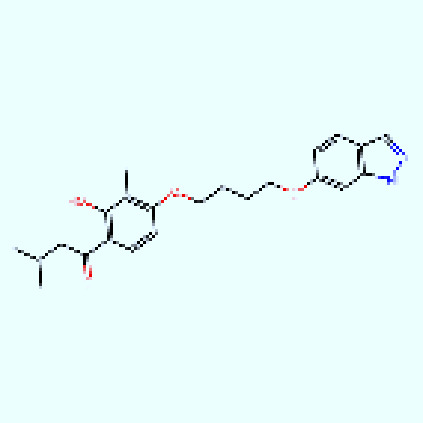 Cc1c(OCCCCOc2ccc3cn[nH]c3c2)ccc(C(=O)CC(C)C)c1O